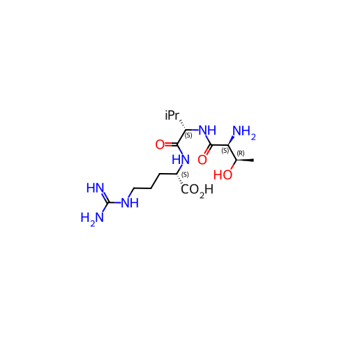 CC(C)[C@H](NC(=O)[C@@H](N)[C@@H](C)O)C(=O)N[C@@H](CCCNC(=N)N)C(=O)O